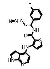 [N-]=[N+]=NC[C@@H](NC(=O)c1sccc1Nc1ccnc2[nH]ccc12)c1cccc(F)c1